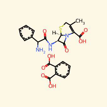 CC1=C(C(=O)O)N2C(=O)[C@@H](NC(=O)C(N)c3ccccc3)[C@H]2SC1.O=C(O)c1ccccc1C(=O)O